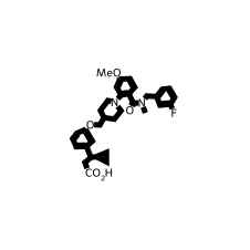 COc1ccc(C(=O)N(C)Cc2cccc(F)c2)c(N2CCC(COc3cccc(C(CC(=O)O)C4CC4)c3)CC2)c1